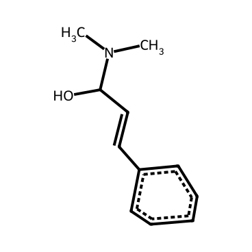 CN(C)C(O)C=Cc1ccccc1